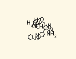 C[SH](C)(=O)N1CCOC(Cc2cc(-c3ccc4cn(Cc5ccccc5)nc4c3)c3c(N)ncnn23)C1